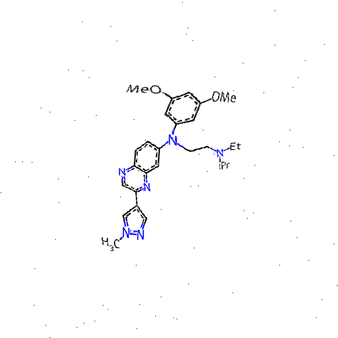 CCN(CCN(c1cc(OC)cc(OC)c1)c1ccc2ncc(-c3cnn(C)c3)nc2c1)C(C)C